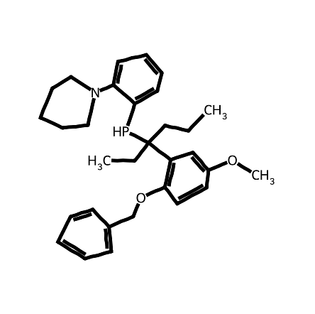 CCCC(CC)(Pc1ccccc1N1CCCCC1)c1cc(OC)ccc1OCc1ccccc1